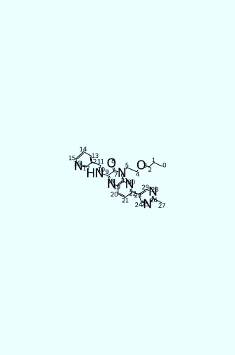 CCCOCCn1c(=O)c(NCc2cccnc2)nc2ccc(-c3cnc(C)nc3)nc21